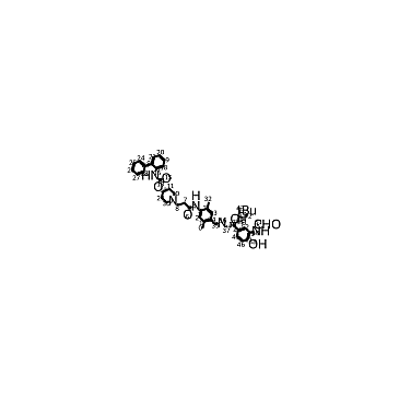 Cc1cc(NC(=O)CCN2CCC(OC(=O)Nc3ccccc3-c3ccccc3)CC2)c(C)cc1C=NC[C@H](O[Si](C)(C)C(C)(C)C)c1ccc(O)c(NC=O)c1